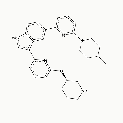 CC1CCN(c2cccc(-c3ccc4[nH]cc(-c5cncc(O[C@@H]6CCCNC6)n5)c4c3)n2)CC1